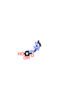 Cc1c[c]n2nc(CNC(=O)c3ccc(O)c(O)c3)nc2n1